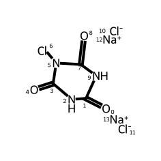 O=c1[nH]c(=O)n(Cl)c(=O)[nH]1.[Cl-].[Cl-].[Na+].[Na+]